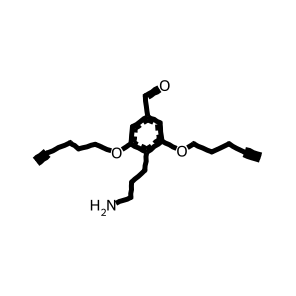 C#CCCCOc1cc(C=O)cc(OCCCC#C)c1CCCN